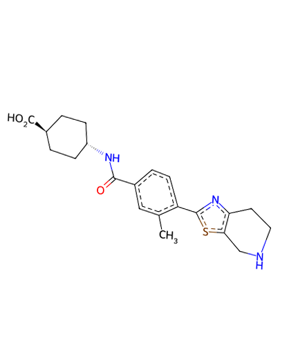 Cc1cc(C(=O)N[C@H]2CC[C@H](C(=O)O)CC2)ccc1-c1nc2c(s1)CNCC2